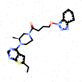 CCc1cc2c(N3CCN(C(=O)CCCOn4nnc5ccccc54)C[C@@H]3C)ncnc2s1